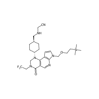 C[Si](C)(C)CCOCn1ccc2c3c(cnc21)C(=O)N(CC(F)(F)F)CN3[C@H]1CC[C@H](CNCC#N)CC1